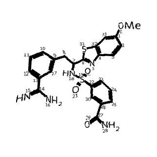 COc1ccc2nc(C(Cc3cccc(C(=N)N)c3)NS(=O)(=O)c3cccc(C(N)=O)c3)sc2c1